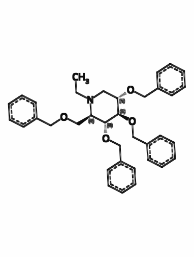 CCN1C[C@H](OCc2ccccc2)[C@@H](OCc2ccccc2)[C@H](OCc2ccccc2)[C@H]1COCc1ccccc1